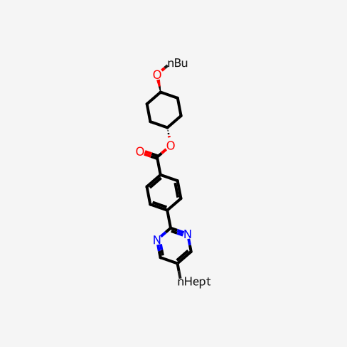 CCCCCCCc1cnc(-c2ccc(C(=O)O[C@H]3CC[C@H](OCCCC)CC3)cc2)nc1